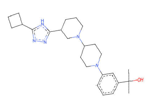 CC(C)(O)c1cc[c]c(N2CCC(N3CCCC(c4nnc(C5CCC5)[nH]4)C3)CC2)c1